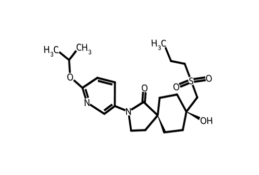 CCCS(=O)(=O)C[C@]1(O)CC[C@]2(CCN(c3ccc(OC(C)C)nc3)C2=O)CC1